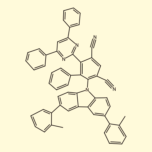 Cc1ccccc1-c1ccc2c(c1)c1cc(-c3ccccc3C)ccc1n2-c1c(C#N)cc(C#N)c(-c2nc(-c3ccccc3)cc(-c3ccccc3)n2)c1-c1ccccc1